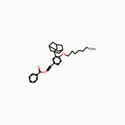 COCCCCCCOc1ccc(C#COC(=O)c2ccccc2)cc1C12CC3CC(CC(C3)C1)C2